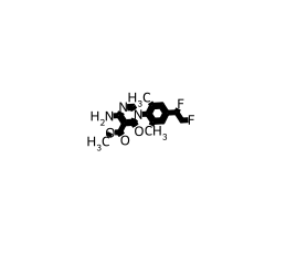 COC(=O)c1c(N)ncn(-c2c(C)cc(C(F)CF)cc2C)c1=O